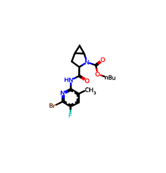 CCCCOC(=O)N1C(C(=O)Nc2nc(Br)c(F)cc2C)CC2CC21